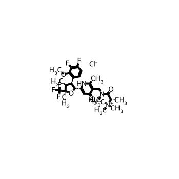 COc1c([C@H]2[C@H](c3cc(=O)c(CN(C)C(=O)[C@H](C)[N+](C)(C)C)c(C)[nH]3)O[C@@](C)(C(F)(F)F)[C@H]2C)ccc(F)c1F.[Cl-]